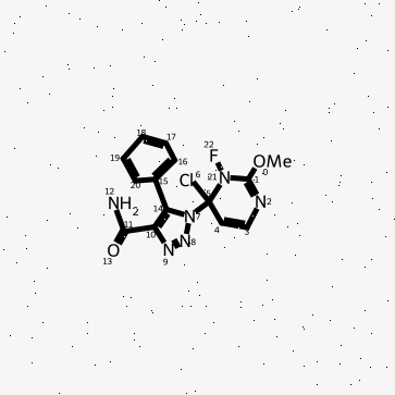 COC1=NC=CC(Cl)(n2nnc(C(N)=O)c2-c2ccccc2)N1F